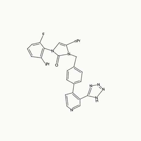 CCCc1cn(-c2c(F)cccc2C(C)C)c(=O)n1Cc1ccc(-c2ccncc2-c2nnn[nH]2)cc1